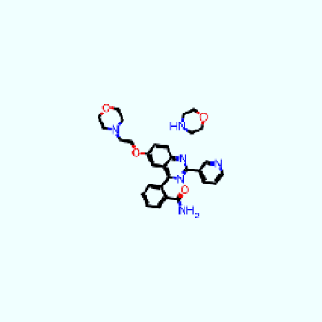 C1COCCN1.NC(=O)c1ccccc1-c1nc(-c2cccnc2)nc2ccc(OCCN3CCOCC3)cc12